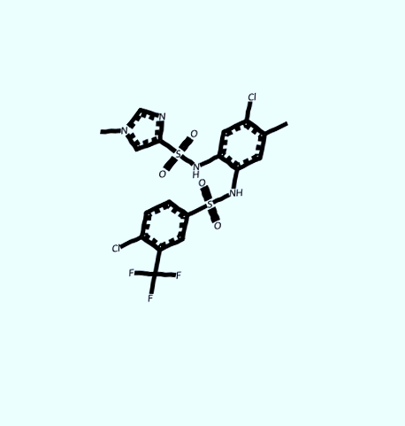 Cc1cc(NS(=O)(=O)c2ccc(Cl)c(C(F)(F)F)c2)c(NS(=O)(=O)c2cn(C)cn2)cc1Cl